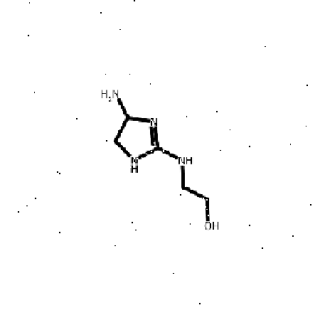 NC1CNC(NCCO)=N1